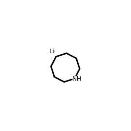 C1CCCNCCC1.[Li]